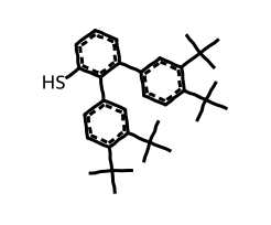 CC(C)(C)c1ccc(-c2cccc(S)c2-c2ccc(C(C)(C)C)c(C(C)(C)C)c2)cc1C(C)(C)C